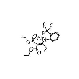 CCOC(=O)C(C(=O)OCC)=C(CC)Nc1ccccc1C(F)(F)F